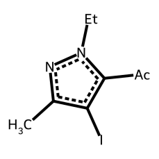 CCn1nc(C)c(I)c1C(C)=O